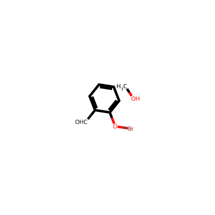 CO.O=Cc1ccccc1OBr